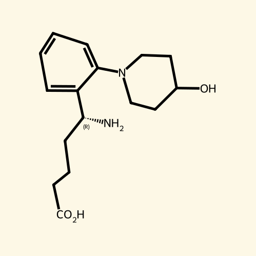 N[C@H](CCCC(=O)O)c1ccccc1N1CCC(O)CC1